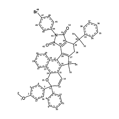 COc1ccc(C2(c3ccccc3)C=Cc3c4c(c5ccccc5c3O2)C2=C(CC(C(C)(C)c3ccccc3)C3=C2C(=O)N(c2ccc(Br)cc2)C3=O)C4(C)C)cc1